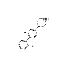 Cc1cc(C2=CCNCC2)ccc1-c1ccccc1F